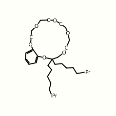 CC(C)CCCCCC1(CCCCCC(C)C)COCCOCCOCCOCCOc2ccccc2O1